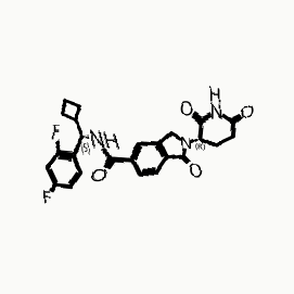 O=C1CC[C@@H](N2Cc3cc(C(=O)N[C@H](c4ccc(F)cc4F)C4CCC4)ccc3C2=O)C(=O)N1